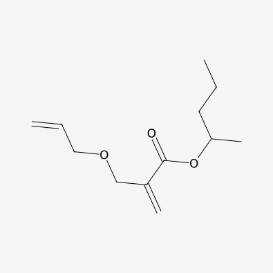 C=CCOCC(=C)C(=O)OC(C)CCC